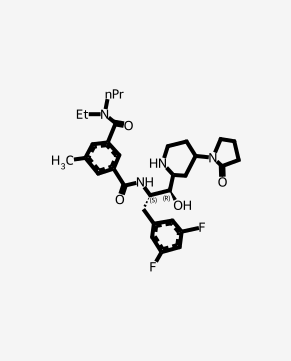 CCCN(CC)C(=O)c1cc(C)cc(C(=O)N[C@@H](Cc2cc(F)cc(F)c2)[C@H](O)C2CC(N3CCCC3=O)CCN2)c1